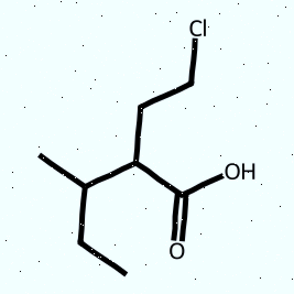 CCC(C)C(CCCl)C(=O)O